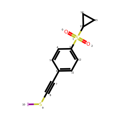 O=S(=O)(c1ccc(C#CSI)cc1)C1CC1